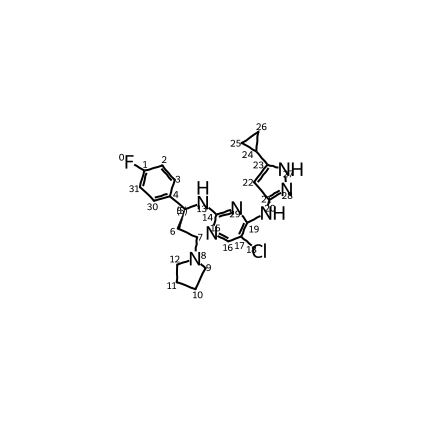 Fc1ccc([C@H](CCN2CCCC2)Nc2ncc(Cl)c(Nc3cc(C4CC4)[nH]n3)n2)cc1